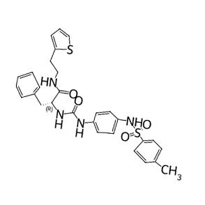 Cc1ccc(S(=O)(=O)Nc2ccc(NC(=O)N[C@H](Cc3ccccc3)C(=O)NCCc3cccs3)cc2)cc1